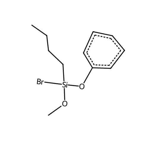 CCCC[Si](Br)(OC)Oc1ccccc1